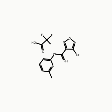 Cc1cccc(NC(=N)c2nonc2O)n1.O=C(O)C(F)(F)F